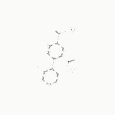 COC(=O)c1cc(C(=O)OC)c(-c2ccccc2Cl)cc1C